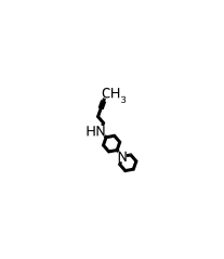 CC#CCCNC1CCC(N2CCCCC2)CC1